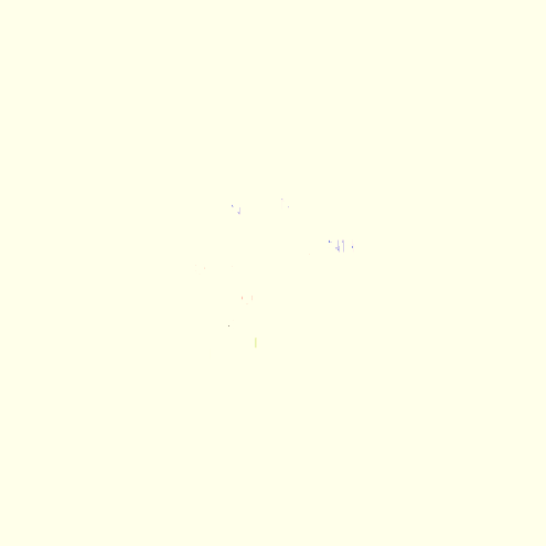 O=C(OC(F)(F)F)c1ncn2c1CNCC2